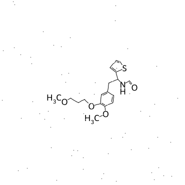 COCCCOc1cc(CC(NC=O)c2cccs2)ccc1OC